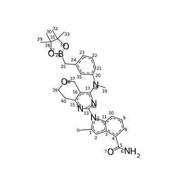 Cc1cc2c(C(N)=O)cccc2n1-c1nc2c(c(N(C)c3cccc(CB4OC(C)(C)C(C)(C)O4)c3)n1)COCC2